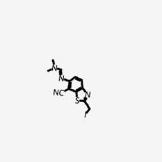 CN(C)/C=N/c1ccc2nc(CI)sc2c1C#N